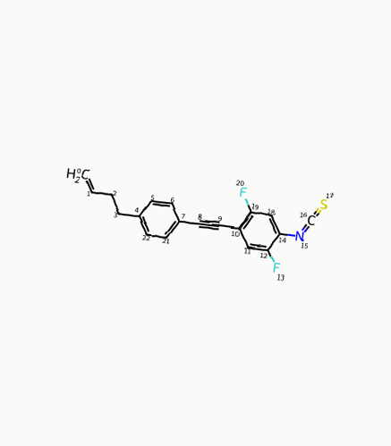 C=CCCc1ccc(C#Cc2cc(F)c(N=C=S)cc2F)cc1